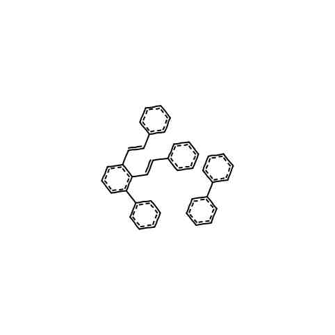 C(=Cc1cccc(-c2ccccc2)c1C=Cc1ccccc1)c1ccccc1.c1ccc(-c2ccccc2)cc1